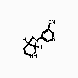 N#Cc1cncc(N2C[C@H]3CCNC[C@H]32)c1